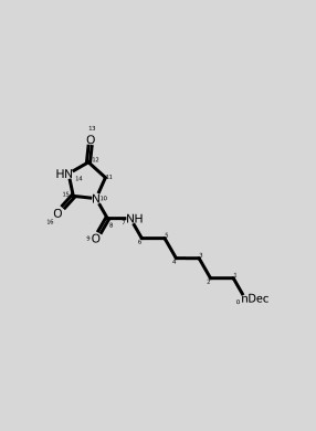 CCCCCCCCCCCCCCCCNC(=O)N1CC(=O)NC1=O